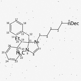 CCCCCCCCCCCCCCCN1C=CN(C)C1(Cc1ccccc1)C(CC)c1ccccc1